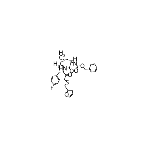 CC(C)C[C@H](NC(=O)OCc1ccccc1)C(=O)NC(Cc1ccc(F)cc1)C(=O)CSCc1ccco1